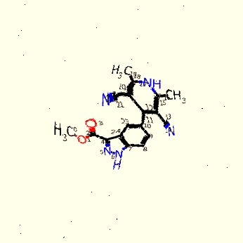 COC(=O)c1n[nH]c2ccc(C3C(C#N)=C(C)NC(C)=C3C#N)cc12